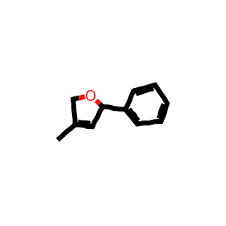 CC1=CC(c2ccccc2)OC1